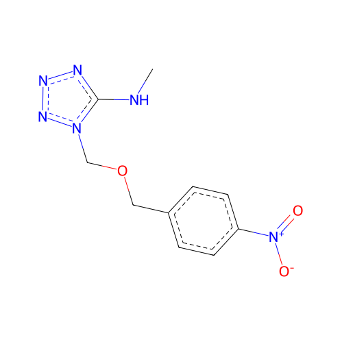 CNc1nnnn1COCc1ccc([N+](=O)[O-])cc1